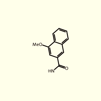 COc1cc(C([NH])=O)cc2ccccc12